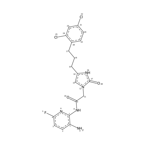 Nc1ccc(F)nc1NC(=O)Cn1cc(CCCc2ccc(Cl)cc2Cl)[nH]c1=O